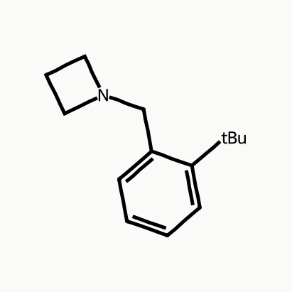 CC(C)(C)c1ccccc1CN1CCC1